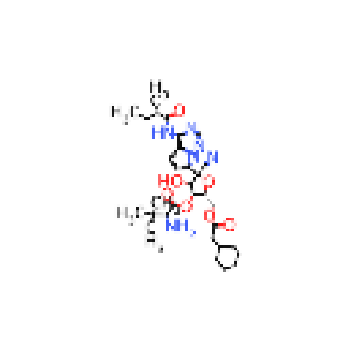 CC[C@@H](C)C(=O)Nc1ncnn2c([C@]3(C#N)O[C@H](COC(=O)CC4CCCCC4)[C@@H](OC(=O)[C@@H](N)C(C)(C)C)[C@H]3O)ccc12